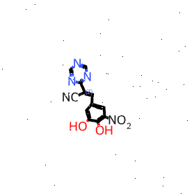 N#C/C(=C\c1cc(O)c(O)c([N+](=O)[O-])c1)c1ncncn1